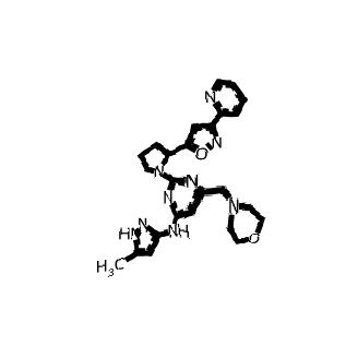 Cc1cc(Nc2cc(CN3CCOCC3)nc(N3CCCC3c3cc(-c4ccccn4)no3)n2)n[nH]1